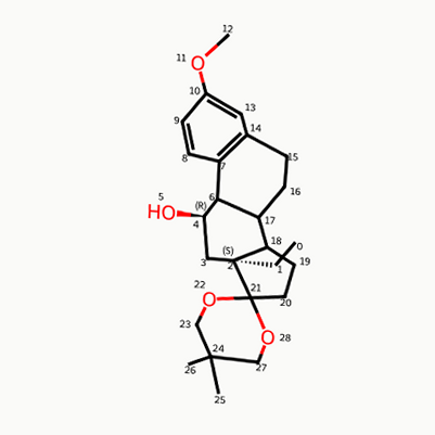 CC[C@]12C[C@@H](O)C3c4ccc(OC)cc4CCC3C1CCC21OCC(C)(C)CO1